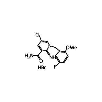 Br.COc1ccc(F)cc1Cn1cc(Cl)cc(C(N)=O)c1=N